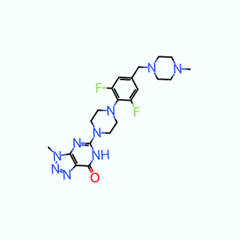 CN1CCN(Cc2cc(F)c(N3CCN(c4nc5c(nnn5C)c(=O)[nH]4)CC3)c(F)c2)CC1